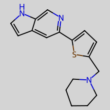 c1cc2cc(-c3ccc(CN4CCCCC4)s3)ncc2[nH]1